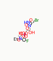 CCON(c1ccc(F)cc1)[C@@H](C)C(=O)OP(=O)(O)OC[C@H]1O[C@@H](n2cc(/C=C/Br)c(=O)[nH]c2=O)C[C@@H]1O